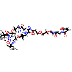 CC(C)(C)CC(C)(C)C(=O)NCC(C)(C)OCC(C)(C)CNC(=O)[C@H](CCC(=O)NCC(C)(C)OC(C)(C)CNC(=O)C(C)(C)CC(C)(C)C)NC(=O)CCOCCOCCNC(=O)CCN1C(=O)C=CC1=O